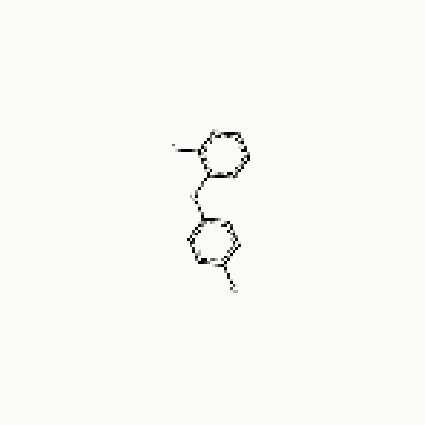 Fc1cc[c]cc1Oc1ccc(Cl)cc1